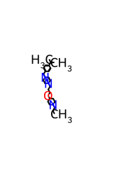 CCCN1CCC(OCCCN2CCN(Cc3ccc(C(C)C)cc3)CC2)CC1